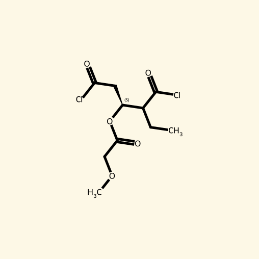 CCC(C(=O)Cl)[C@H](CC(=O)Cl)OC(=O)COC